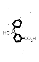 Cl.O=C(O)c1cccc(Oc2ccccc2)c1